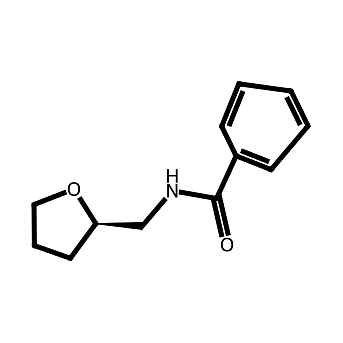 O=C(NC[C@H]1CCCO1)c1ccccc1